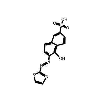 O=S(=O)(O)c1ccc2c(O)c(/N=N/c3nccs3)ccc2c1